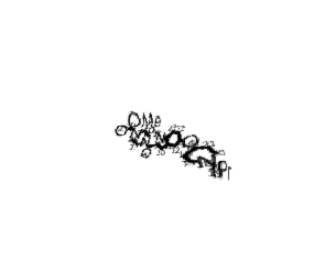 COC(=O)N1CCN(C(=O)c2cc3cc(OC4CCN(C(C)C)CC4)ccc3n2C(C)C)CC1